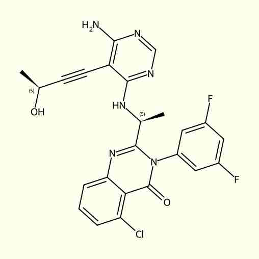 C[C@H](O)C#Cc1c(N)ncnc1N[C@@H](C)c1nc2cccc(Cl)c2c(=O)n1-c1cc(F)cc(F)c1